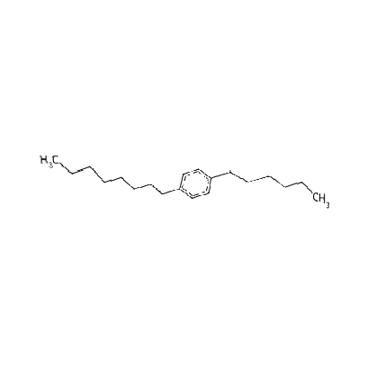 CCCCC[CH]c1ccc(CCCCCCCC)cc1